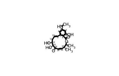 CNc1cc(O)c2c(c1)/C=C/C[C@H](O)[C@H](O)C(=O)/C=C\[C@@H](C)[C@H](C)OC2=O